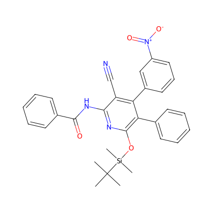 CC(C)(C)[Si](C)(C)Oc1nc(NC(=O)c2ccccc2)c(C#N)c(-c2cccc([N+](=O)[O-])c2)c1-c1ccccc1